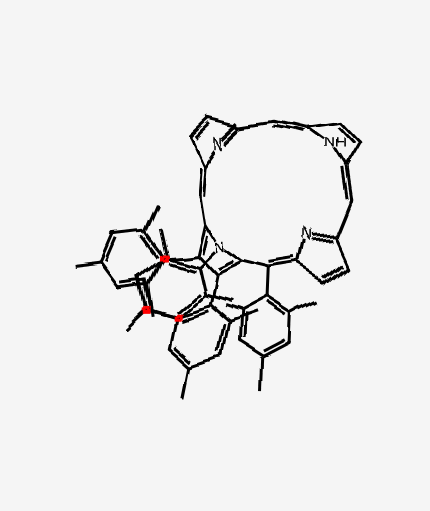 Cc1cc(C)c(-c2c(-c3c(C)cc(C)cc3C)c3c(-c4c(C)cc(C)cc4C)c4nc(cc5ccc(cc6nc(cc2n3-c2c(C)cc(C)cc2C)C=C6)[nH]5)C=C4)c(C)c1